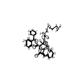 CN(C)CCN(C)CCNC(=O)OCC1(C)[C@H](C(=O)OC(c2ccccc2)c2ccccc2)N2C(=O)/C(=C/c3ccccn3)C2S1(=O)=O